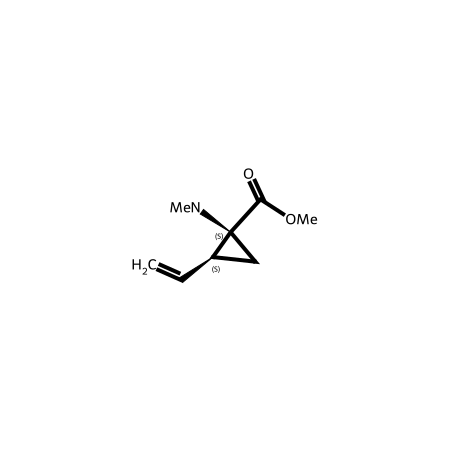 C=C[C@@H]1C[C@@]1(NC)C(=O)OC